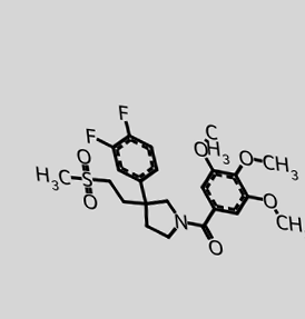 COc1cc(C(=O)N2CCC(CCS(C)(=O)=O)(c3ccc(F)c(F)c3)C2)cc(OC)c1OC